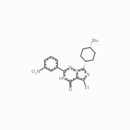 CCc1nc([C@H]2CC[C@@H](C(C)(C)C)CC2)n2nc(-c3cccc([N+](=O)[O-])c3)[nH]c(=O)c12